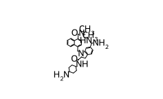 CN(C)C(=O)c1ccc(CN2c3cc(C(=N)N)ccc3CC2C(=O)N[C@H]2CC[C@H](N)CC2)c2ccccc12